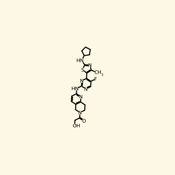 Cc1nc(NC2CCCC2)sc1-c1nc(Nc2ccc3c(n2)CCN(C(=O)CO)C3)ncc1F